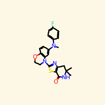 CN(c1ccc(F)cc1)c1ccc2c(c1)N(c1nc3c(s1)C(=O)NC(C)(C)C3)CCO2